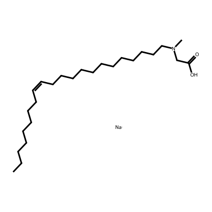 CCCCCCCC/C=C\CCCCCCCCCCCCN(C)CC(=O)O.[Na]